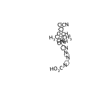 CC1(C)C(NC(=O)c2ccc(N3CCN(CC4CCN(CC(=O)O)CC4)CC3)nc2)C(C)(C)C1Oc1ccc(C#N)c(Cl)c1